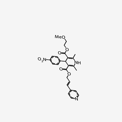 COCCOC(=O)C1=C(C)NC(C)=C(C(=O)OC/C=C/c2ccncc2)C1c1ccc([N+](=O)[O-])cc1